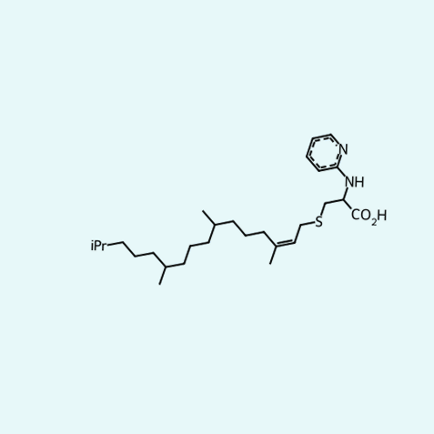 CC(=CCSCC(Nc1ccccn1)C(=O)O)CCCC(C)CCCC(C)CCCC(C)C